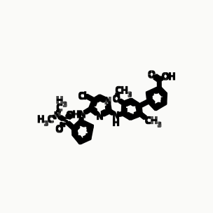 COc1cc(-c2cccc(C(=O)O)c2)c(C)cc1Nc1ncc(Cl)c(Nc2ccccc2S(=O)(=O)N(C)C)n1